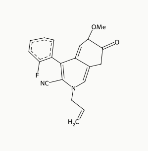 C=CCN1C=C2CC(=O)C(OC)C=C2C(c2ccccc2F)=C1C#N